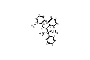 CS(C)(c1ccccc1)C(Cc1ccccc1O)c1ccccc1